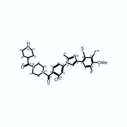 COc1c(F)cc(-c2cn(-c3ccc(C(=O)N4CCN(C(=O)C5CCNCC5)CC4)c(Cl)c3)c(C)n2)c(F)c1F